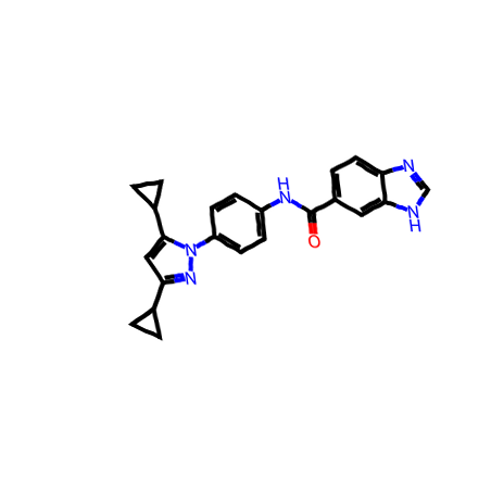 O=C(Nc1ccc(-n2nc(C3CC3)cc2C2CC2)cc1)c1ccc2nc[nH]c2c1